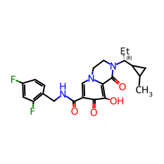 CC[C@H](C1CC1C)N1CCn2cc(C(=O)NCc3ccc(F)cc3F)c(=O)c(O)c2C1=O